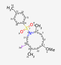 COc1ccc(C)n(S(=O)(=O)c2ccc(C)cc2)cc(I)c(C)c1